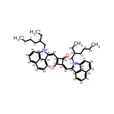 CCCCC(CC)Cn1/c(=C/C2=C([O-])C(=C/C3=[N+](CC(CC)CCCC)c4cccc5cccc3c45)/C2=O)c2cccc3cccc1c32